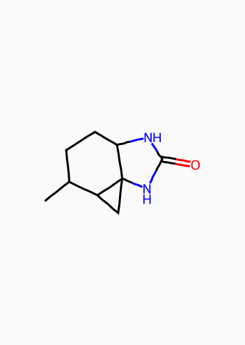 CC1CCC2NC(=O)NC23CC13